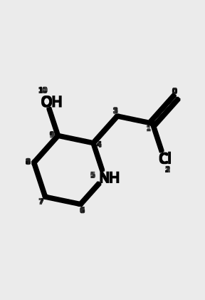 C=C(Cl)CC1NCCCC1O